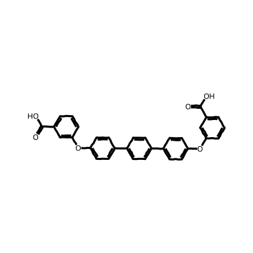 O=C(O)c1cccc(Oc2ccc(-c3ccc(-c4ccc(Oc5cccc(C(=O)O)c5)cc4)cc3)cc2)c1